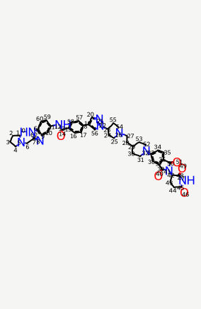 C[C@H]1CCCN1Cc1nc2cc(NC(=O)c3ccc(-c4cnn(C5CCN(CCC6CCN(c7ccc8c(c7)C(=O)N(C7CCC(=O)NC7=O)C8=O)CC6)CC5)c4)cc3)ccc2[nH]1